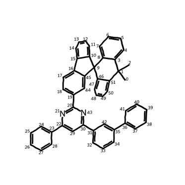 CC1(C)c2ccccc2C2(c3ccccc3-c3ccc(-c4nc(-c5ccccc5)cc(-c5cccc(-c6ccccc6)c5)n4)cc32)c2ccccc21